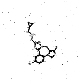 Clc1ncn2c1Cn1nc(CNCC3CC3)nc1-c1cc(Br)ccc1-2